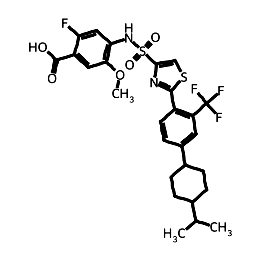 COc1cc(C(=O)O)c(F)cc1NS(=O)(=O)c1csc(-c2ccc(C3CCC(C(C)C)CC3)cc2C(F)(F)F)n1